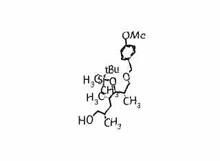 COc1ccc(COC[C@H](C)[C@H](O[Si](C)(C)C(C)(C)C)[C@@H](C)C[C@@H](C)CO)cc1